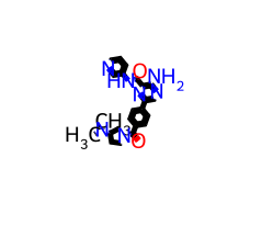 CN(C)C1CCN(C(=O)c2ccc(-c3cnc(N)c(C(=O)Nc4cccnc4)n3)cc2)C1